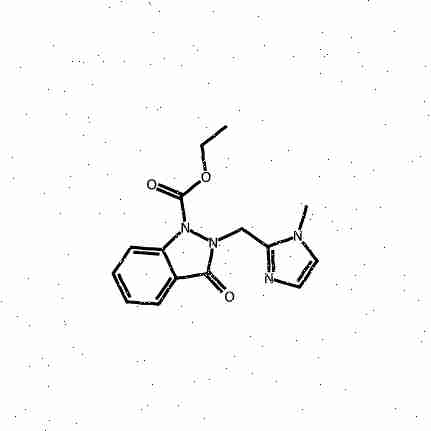 CCOC(=O)n1c2ccccc2c(=O)n1Cc1nccn1C